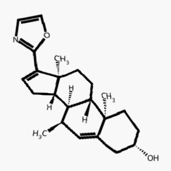 C[C@@H]1C=C2C[C@@H](O)CC[C@]2(C)[C@H]2CC[C@]3(C)C(c4ncco4)=CC[C@H]3[C@H]12